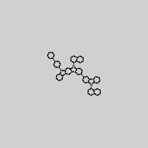 c1ccc(-c2ccc(-n3c4ccccc4c4cc5c6cc(-c7ccc8c(c7)c7ccccc7n8-c7cccc8ccccc78)ccc6n(-c6cccc7ccccc67)c5cc43)cc2)cc1